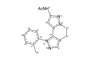 CC(=O)Nc1cc2n(n1)CCc1cnn(-c3ccccc3C)c1-2